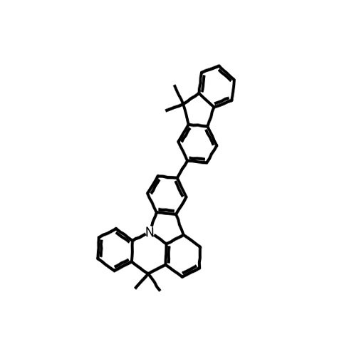 CC1(C)C2=C3C(CC=C2)c2cc(-c4ccc5c(c4)C(C)(C)c4ccccc4-5)ccc2N3c2ccccc21